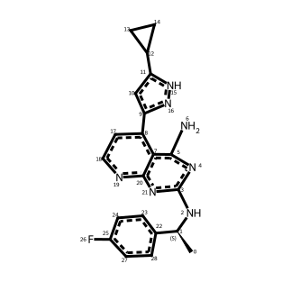 C[C@H](Nc1nc(N)c2c(-c3cc(C4CC4)[nH]n3)ccnc2n1)c1ccc(F)cc1